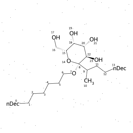 CCCCCCCCCCCCCCCCO[C@]1(C(C)CCCCCCCCCCCC)O[C@H](CO)[C@H](O)[C@H](O)[C@H]1O